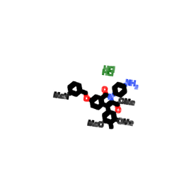 CNc1cccc(COc2ccc3c(-c4cc(OC)c(C)c(OC)c4)c(C(=O)OC)n(-c4ccc(N)cc4)c(=O)c3c2)c1.Cl.Cl